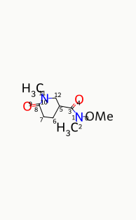 CON(C)C(=O)C1CCC(=O)N(C)C1